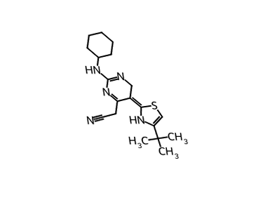 CC(C)(C)C1=CSC(=C2CN=C(NC3CCCCC3)N=C2CC#N)N1